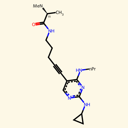 CCCNc1nc(NC2CC2)ncc1C#CCCCNC(=O)[C@H](C)NC